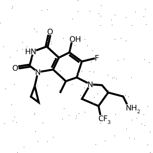 CC1c2c(c(=O)[nH]c(=O)n2C2CC2)C(O)=C(F)C1N1CC(CN)C(C(F)(F)F)C1